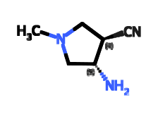 CN1C[C@@H](N)[C@H](C#N)C1